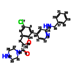 O=C([C@@H]1Cc2cc(Cl)cc(-c3ccnc(NCc4ccccc4)c3)c2O1)N1CCNCC1